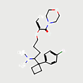 CC(=O)C=C(OCCCC(N(C)C)C1(c2ccc(Cl)cc2)CCC1)C(=O)N1CCOCC1